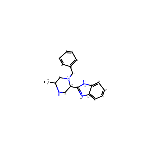 CC1CN(Cc2ccccc2)C(c2nc3ccccc3[nH]2)CN1